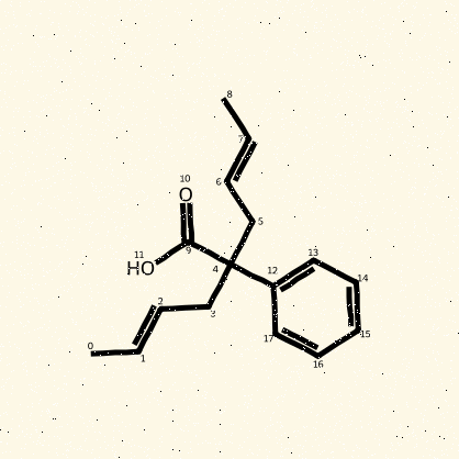 CC=CCC(CC=CC)(C(=O)O)c1ccccc1